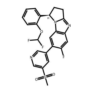 CS(=O)(=O)c1cncc(-c2cc3c(cc2F)nc2n3[C@@H](c3ccccc3OC(F)F)CC2)c1